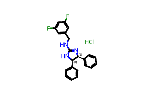 Cl.Fc1cc(F)cc(CNC2=N[C@@H](c3ccccc3)[C@@H](c3ccccc3)N2)c1